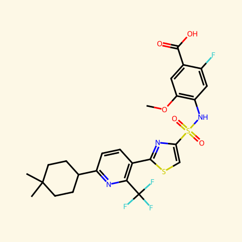 COc1cc(C(=O)O)c(F)cc1NS(=O)(=O)c1csc(-c2ccc(C3CCC(C)(C)CC3)nc2C(F)(F)F)n1